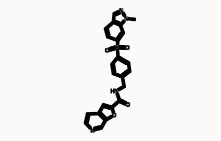 Cn1ncc2ccc(S(=O)(=O)c3ccc(CNC(=O)c4cc5ccncc5o4)cc3)cc21